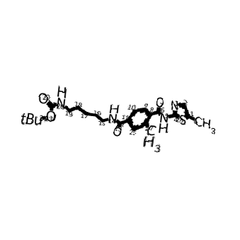 Cc1cnc(NC(=O)c2ccc(C(=O)NCCCCCNC(=O)OC(C)(C)C)cc2C)s1